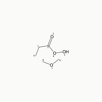 CCC(=O)OO.COC